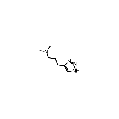 CN(C)CCCc1c[nH]nn1